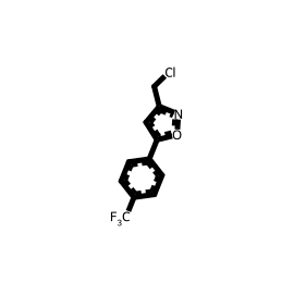 FC(F)(F)c1ccc(-c2cc(CCl)no2)cc1